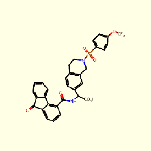 O=C(NC(C(=O)O)c1ccc2c(c1)CN(S(=O)(=O)c1ccc(OC(F)(F)F)cc1)CC2)c1cccc2c1-c1ccccc1C2=O